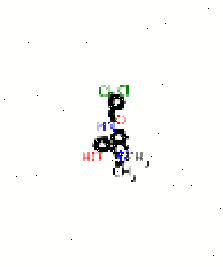 C=CC[N@@+]1(C)CC[C@@]2(c3cccc(O)c3)C[C@@H](NC(=O)Cc3ccc(Cl)c(Cl)c3)CCC2C1